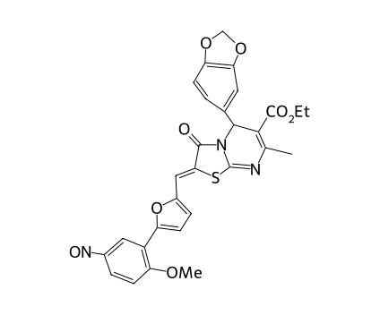 CCOC(=O)C1=C(C)N=c2s/c(=C\c3ccc(-c4cc(N=O)ccc4OC)o3)c(=O)n2C1c1ccc2c(c1)OCO2